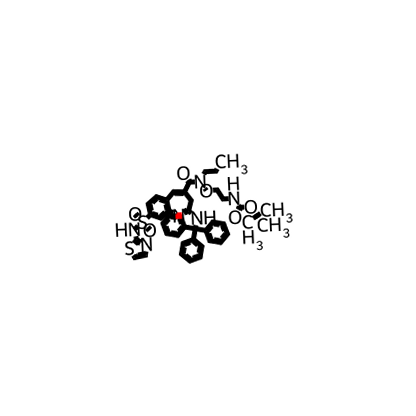 CCCN(OCCNC(=O)OC(C)(C)C)C(=O)C1=Cc2ccc(S(=O)(=O)Nc3nccs3)cc2N=C(NC(c2ccccc2)(c2ccccc2)c2ccccc2)C1